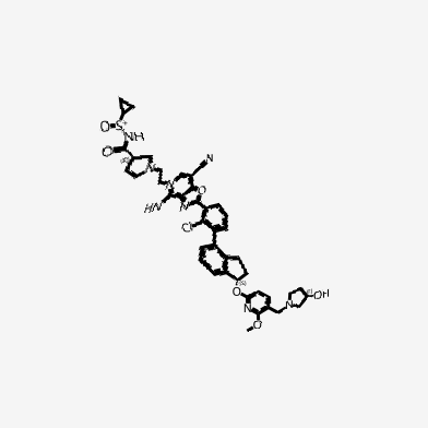 COc1nc(O[C@H]2CCc3c(-c4cccc(-c5nc6c(=N)n(CCN7CC[C@@H](C(=O)N[S+]([O-])C8CC8)C7)cc(C#N)c6o5)c4Cl)cccc32)ccc1CN1CC[C@@H](O)C1